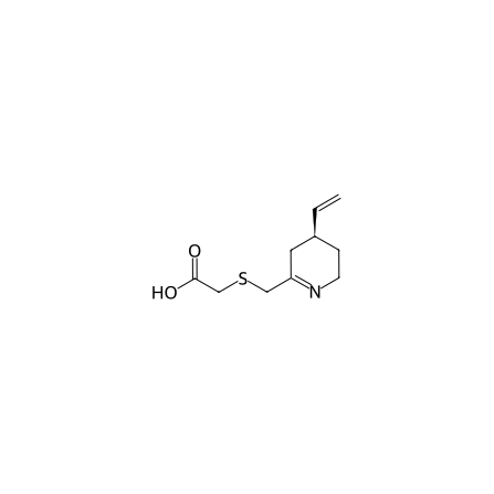 C=C[C@H]1CCN=C(CSCC(=O)O)C1